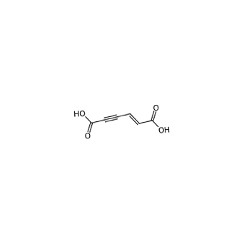 O=C(O)C#C/C=C/C(=O)O